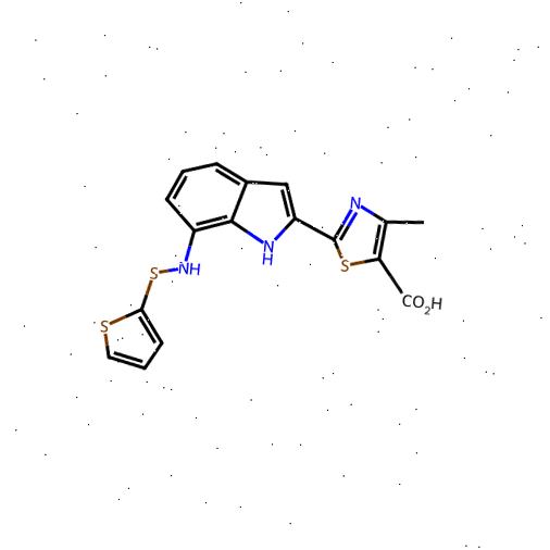 Cc1nc(-c2cc3cccc(NSc4cccs4)c3[nH]2)sc1C(=O)O